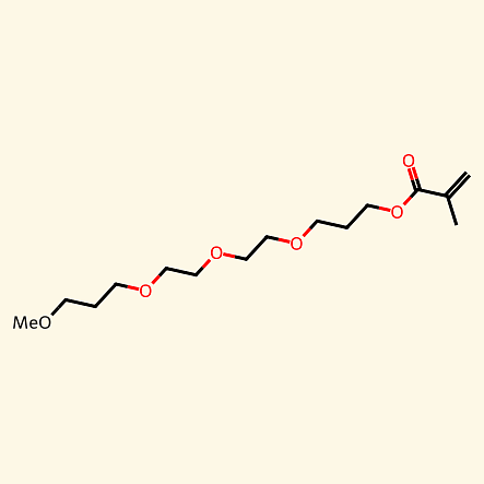 C=C(C)C(=O)OCCCOCCOCCOCCCOC